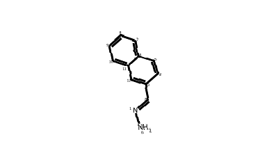 NN=Cc1ccc2ccccc2c1